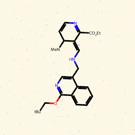 CCOC(=O)C1=NC=CC(NC)/C1=C\NCc1cnc(OCC(C)(C)C)c2ccccc12